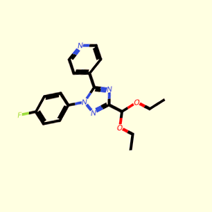 CCOC(OCC)c1nc(-c2ccncc2)n(-c2ccc(F)cc2)n1